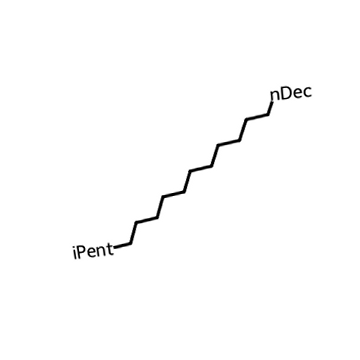 [CH2]CCCCCCCCCCCCCCCCCCCCC(C)CC[CH2]